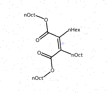 CCCCCCCCOC(=O)/C(CCCCCC)=C(/CCCCCCCC)C(=O)OCCCCCCCC